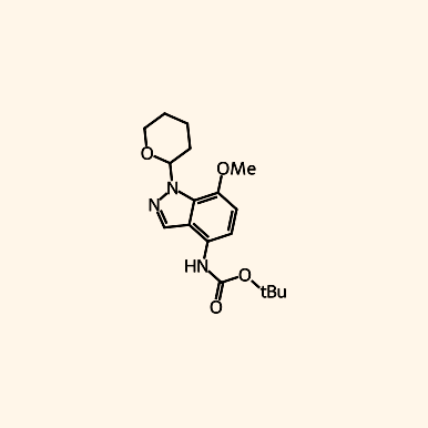 COc1ccc(NC(=O)OC(C)(C)C)c2cnn(C3CCCCO3)c12